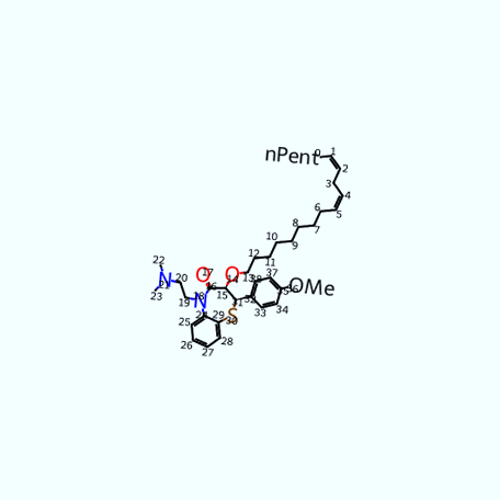 CCCCC/C=C\C/C=C\CCCCCCCCO[C@@H]1C(=O)N(CCN(C)C)c2ccccc2S[C@@H]1c1ccc(OC)cc1